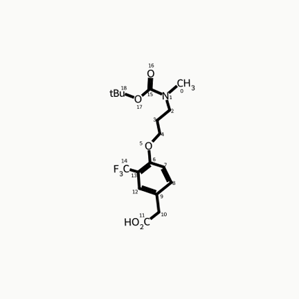 CN(CCCOc1ccc(CC(=O)O)cc1C(F)(F)F)C(=O)OC(C)(C)C